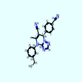 CC1=C(C#N)[C@@H](c2ccc(C#N)cc2)n2ncnc2N1c1cccc(CF)c1